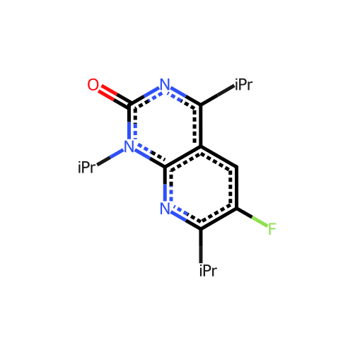 CC(C)c1nc2c(cc1F)c(C(C)C)nc(=O)n2C(C)C